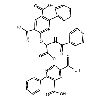 O=C(NC(Oc1nc(-c2ccccc2)c(C(=O)O)cc1C(=O)O)C(=O)Oc1nc(-c2ccccc2)c(C(=O)O)cc1C(=O)O)c1ccccc1